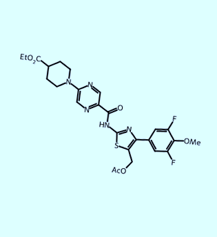 CCOC(=O)C1CCN(c2cnc(C(=O)Nc3nc(-c4cc(F)c(OC)c(F)c4)c(COC(C)=O)s3)cn2)CC1